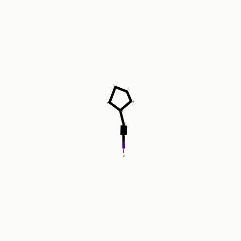 IC#CC1CCCC1